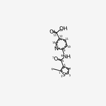 Cc1sccc1C(=O)Nc1ccc(C(=O)O)cn1